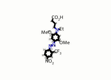 CCN(CCCC(=O)O)c1cc(OC)c(N=Nc2ccc([N+](=O)[O-])cc2C(F)(F)F)cc1OC